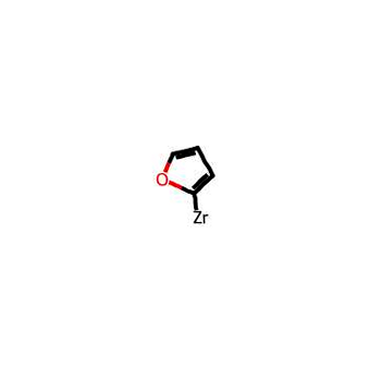 [Zr][c]1ccco1